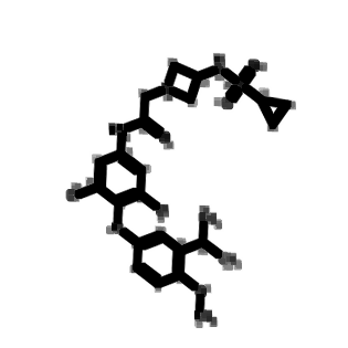 COc1ccc(Oc2c(Cl)cc(NC(=O)CN3CC(NS(=O)(=O)C4CC4)C3)cc2Cl)cc1C(C)C